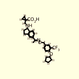 C/C(=N\OCc1ccc(OC2CCCC2)c(C(F)(F)F)c1)c1ccc2c(c1)CCC2NCC1(C(=O)O)CC1